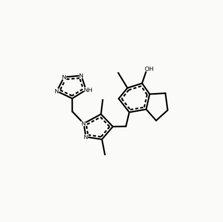 Cc1cc(Cc2c(C)nn(Cc3nnn[nH]3)c2C)c2c(c1O)CCC2